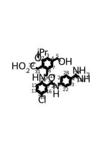 CC(C)Oc1cc(CO)cc(CNc2ccc(Cl)cc2C(=O)Nc2ccc(C(=N)N)cc2)c1CC(=O)O